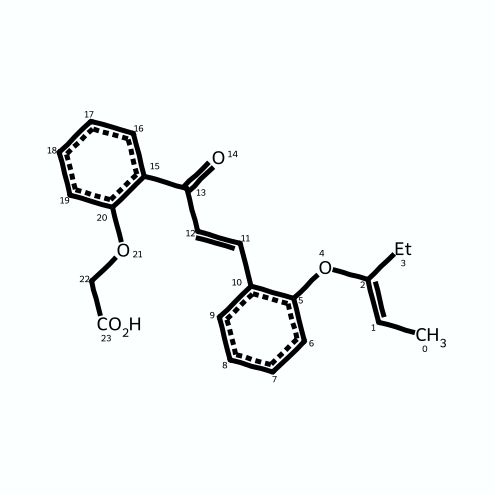 CC=C(CC)Oc1ccccc1C=CC(=O)c1ccccc1OCC(=O)O